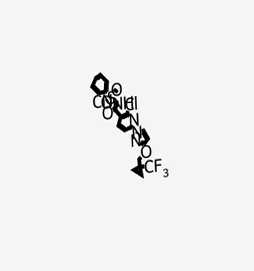 N#Cc1ccccc1S(=O)(=O)NC(=O)c1ccc(-n2ccc(OCC3(C(F)(F)F)CC3)n2)nc1Cl